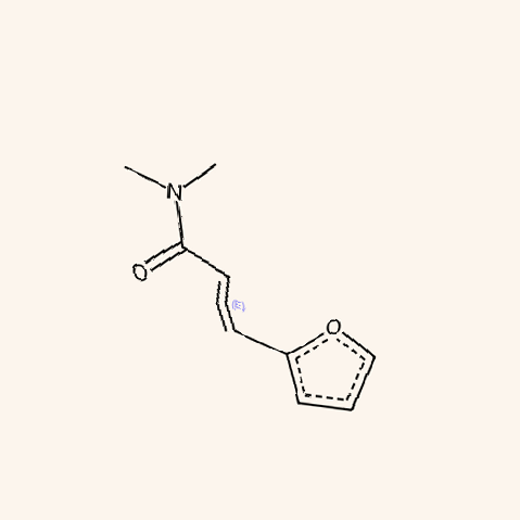 CN(C)C(=O)/C=C/c1ccco1